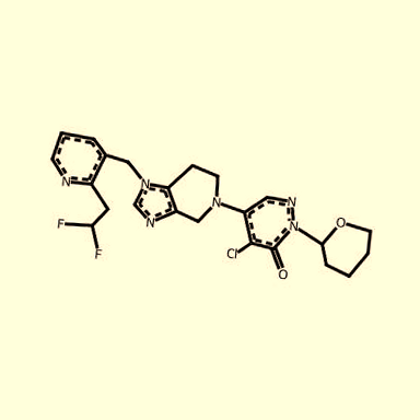 O=c1c(Cl)c(N2CCc3c(ncn3Cc3cccnc3CC(F)F)C2)cnn1C1CCCCO1